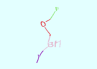 FOBI